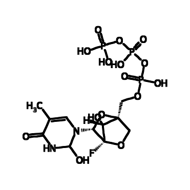 CC1=CN([C@@H]2O[C@@]3(COP(=O)(O)OP(=O)(O)OP(=O)(O)O)CO[C@]2(F)[C@@H]3O)C(O)NC1=O